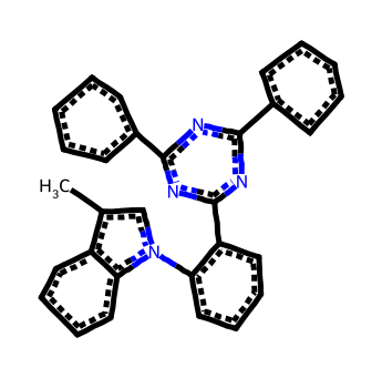 Cc1cn(-c2ccccc2-c2nc(-c3ccccc3)nc(-c3ccccc3)n2)c2ccccc12